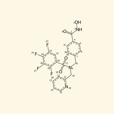 O=C(NO)c1ccc(CN(Cc2ccccn2)S(=O)(=O)c2cc(F)c(F)c(F)c2F)cc1